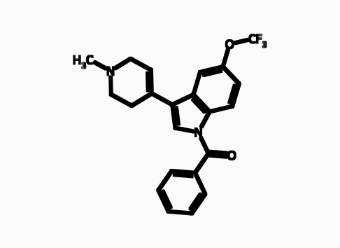 CN1CC=C(c2cn(C(=O)c3ccccc3)c3ccc(OC(F)(F)F)cc23)CC1